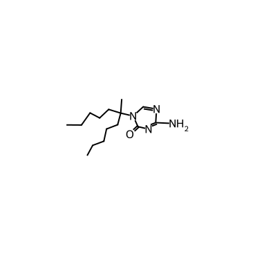 CCCCCC(C)(CCCCC)n1cnc(N)nc1=O